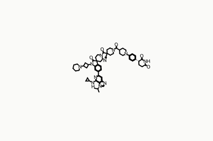 CC(C)n1cnc2cc(-c3ccc4c(c3)N(C3CC(N5CCCCC5)C3)C(=O)C43CCN(C(=O)C4(C#N)CCN(C(=O)C5CCN(c6ccc([C@H]7CCC(=O)NC7=O)cc6)CC5)CC4)CC3)nc(NC3CC3)c21